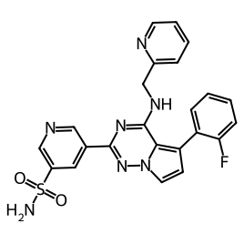 NS(=O)(=O)c1cncc(-c2nc(NCc3ccccn3)c3c(-c4ccccc4F)ccn3n2)c1